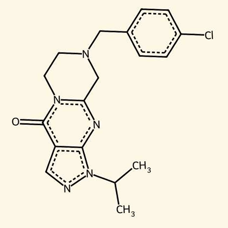 CC(C)n1ncc2c(=O)n3c(nc21)CN(Cc1ccc(Cl)cc1)CC3